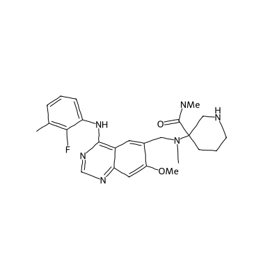 CNC(=O)C1(N(C)Cc2cc3c(Nc4cccc(C)c4F)ncnc3cc2OC)CCCNC1